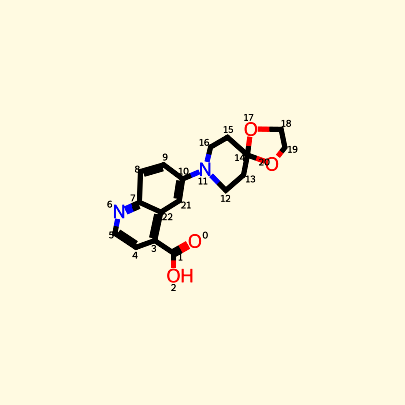 O=C(O)c1ccnc2ccc(N3CCC4(CC3)OCCO4)cc12